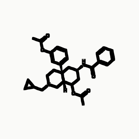 CC(=O)Oc1cccc([C@@]23CCN(CC4CC4)C[C@H]2C(OC(C)=O)C[C@H](NC(=O)c2ccccc2)C3)c1